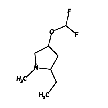 CCC1CC(OC(F)F)CN1C